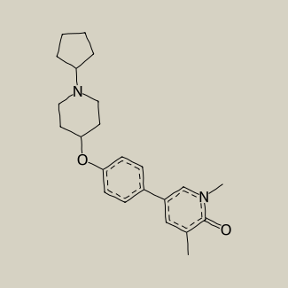 Cc1cc(-c2ccc(OC3CCN(C4CCCC4)CC3)cc2)cn(C)c1=O